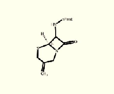 C=C1CS[C@H]2C(NCCCCC)C(=O)N2C1